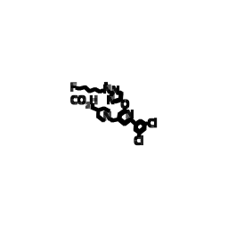 CN(CCCCCF)c1ncc(Oc2cc(CN3CCC(CC(=O)O)CC3)cc(-c3cc(Cl)cc(Cl)c3)n2)cn1